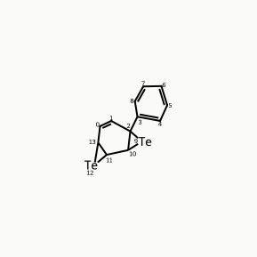 C1=CC2(c3ccccc3)[Te]C2C2[Te]C12